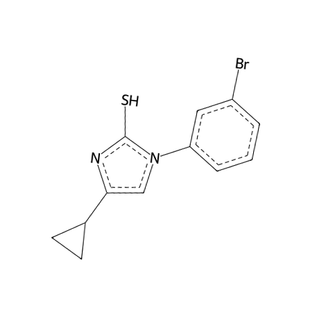 Sc1nc(C2CC2)cn1-c1cccc(Br)c1